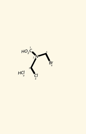 Cl.O=C(O)N(CCl)CBr